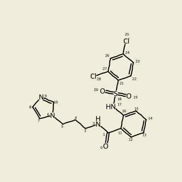 O=C(NCCCn1ccnc1)c1ccccc1NS(=O)(=O)c1ccc(Cl)cc1Cl